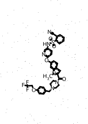 Cn1c(C(=O)N2CCN(Cc3ccc(OCC(F)(F)F)cc3)CC2)cc2ccc(Oc3ccc(NS(=O)(=O)c4ccccc4C#N)cn3)cc21